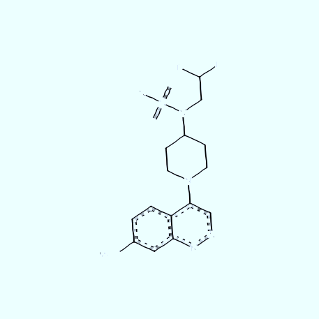 COc1ccc2c(N3CCC(N(CC(F)F)S(N)(=O)=O)CC3)cnnc2c1